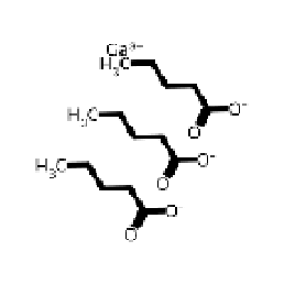 CCCCC(=O)[O-].CCCCC(=O)[O-].CCCCC(=O)[O-].[Ga+3]